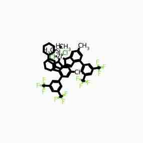 Cc1cc(-c2cc(C(F)(F)F)cc(C(F)(F)F)c2)c2c(c1)[CH]([Zr]([Cl])([Cl])([CH]1C(CC3CCCCC3)=Cc3c(-c4cc(C(F)(F)F)cc(C(F)(F)F)c4)cc(C)cc31)[SiH](C)C)C(CC1CCCCC1)=C2